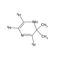 [2H]C1=NC([2H])=C([2H])NC1(C)C